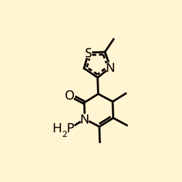 CC1=C(C)N(P)C(=O)C(c2csc(C)n2)C1C